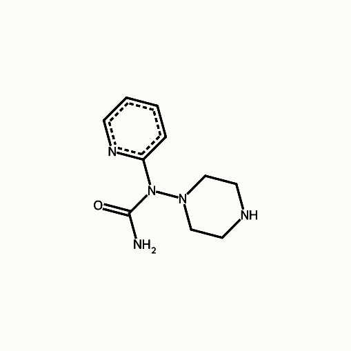 NC(=O)N(c1ccccn1)N1CCNCC1